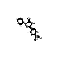 O=C1C(=O)N(c2ccccc2)N=C1c1ccc([N+](=O)[O-])cc1